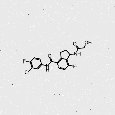 O=C(CO)NC1CCc2c(C(=O)Nc3ccc(F)c(Cl)c3)ccc(F)c21